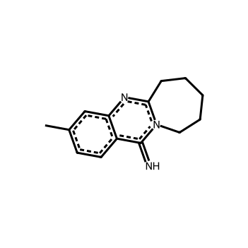 Cc1ccc2c(=N)n3c(nc2c1)CCCCC3